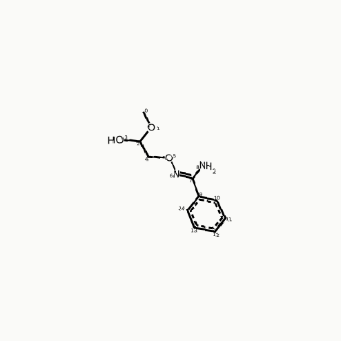 COC(O)CON=C(N)c1ccccc1